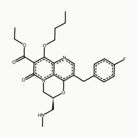 CCCCOc1c(C(=O)OCC)c(=O)n2c3c(c(Cc4ccc(F)cc4)cnc13)O[C@@H](CNC)C2